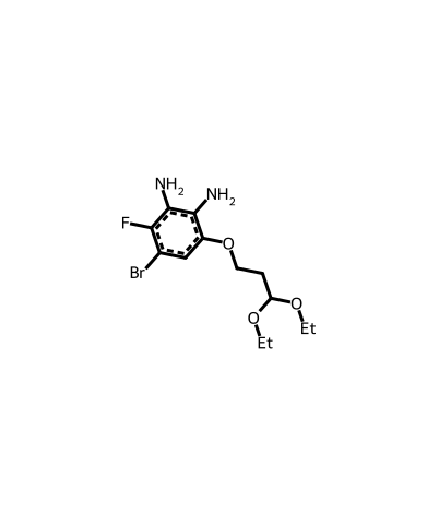 CCOC(CCOc1cc(Br)c(F)c(N)c1N)OCC